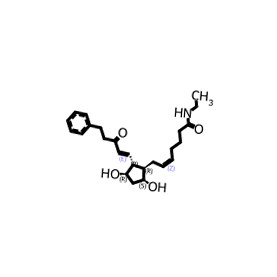 CCNC(=O)CCC/C=C\C[C@@H]1[C@@H](/C=C/C(=O)CCc2ccccc2)[C@H](O)C[C@@H]1O